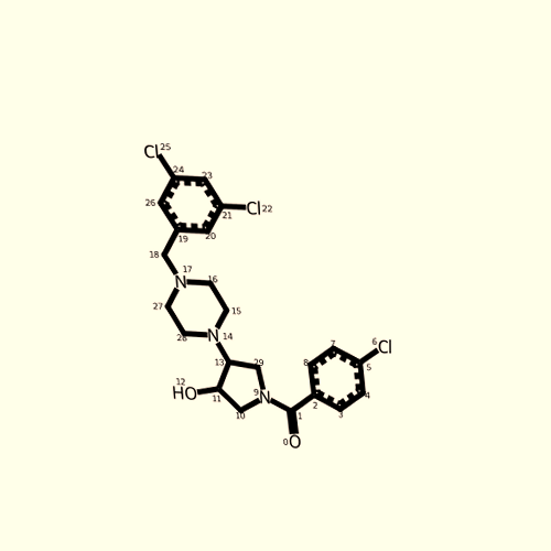 O=C(c1ccc(Cl)cc1)N1CC(O)C(N2CCN(Cc3cc(Cl)cc(Cl)c3)CC2)C1